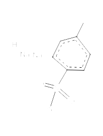 Cc1ccc(S(=O)(=O)[O-])cc1.[H-].[Na+].[Na+]